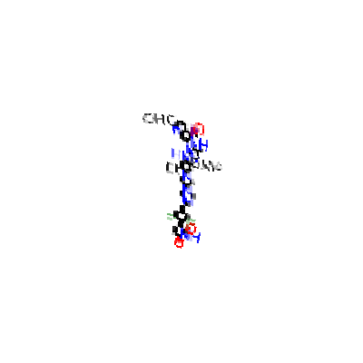 CCc1cc(Nc2ncc(C)c(Nc3ccc4nc(C=O)ccc4c3P(C)(C)=O)n2)c(OC)cc1N1CCC(N2CCN(CCc3cc(F)c(C4CCC(=O)NC4=O)c(F)c3)CC2)CC1